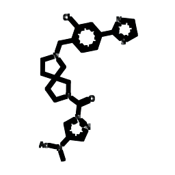 CC(=O)N(C)c1cnn(C(=O)N2CCC3(CCN(Cc4ccc(-c5nccs5)cc4Cl)C3)C2)c1